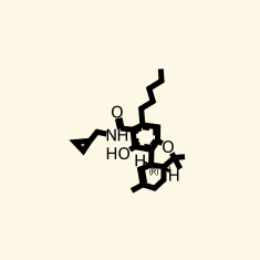 CCCCCc1cc2c(c(O)c1C(=O)NCC1CC1)[C@@H]1C=C(C)CC[C@H]1C(C)(C)O2